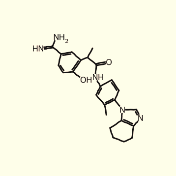 Cc1cc(NC(=O)C(C)c2cc(C(=N)N)ccc2O)ccc1-n1cnc2c1CCCC2